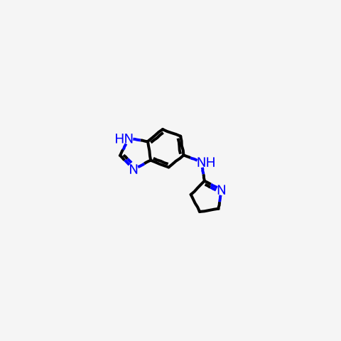 c1nc2cc(NC3=NCCC3)ccc2[nH]1